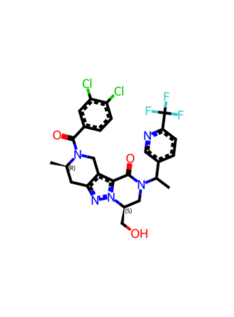 CC(c1ccc(C(F)(F)F)nc1)N1C[C@@H](CO)n2nc3c(c2C1=O)CN(C(=O)c1ccc(Cl)c(Cl)c1)[C@H](C)C3